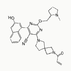 C=CC(=O)N1CC2(CCN(c3nc(OCC4CCCN4C)nc(-c4cc(O)cc5ccccc45)c3C#N)C2)C1